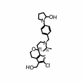 C[C@H]1C[C@@]2(CCN1Cc1ccc(N3CCCC3O)cc1)OCCc1c2sc(Cl)c1CO